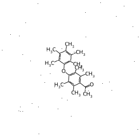 CC(=O)c1c(C)c(C)c(Oc2c(C)c(C)c(C)c(C)c2C)c(C)c1C